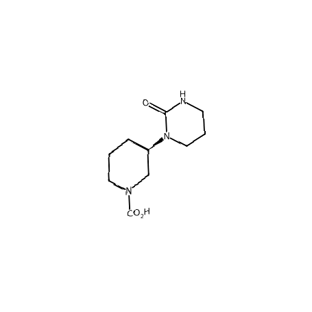 O=C(O)N1CCC[C@@H](N2CCCNC2=O)C1